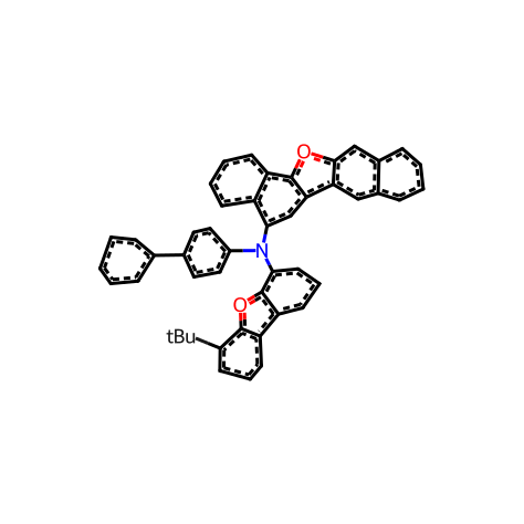 CC(C)(C)c1cccc2c1oc1c(N(c3ccc(-c4ccccc4)cc3)c3cc4c5cc6ccccc6cc5oc4c4ccccc34)cccc12